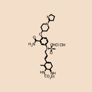 CCOC(=O)NC1=C(C)C(/C=C/CN(c2ccc(OC3CCN(C4=NCCC4)CC3)c(C(N)=O)c2)S(C)(=O)=O)=CCC1=N.Cl.Cl